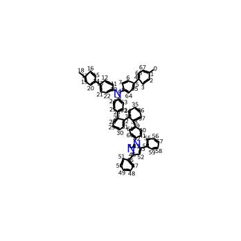 Cc1ccc(-c2ccc(N(c3ccc(-c4ccc(C)cc4)cc3)c3ccc(-c4ccccc4-c4ccccc4-c4ccc(-n5nc(-c6ccccc6)cc5-c5ccccc5)cc4)cc3)cc2)cc1